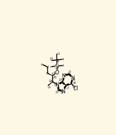 CCC[C@@H](O[Si](C)(C)C(C)(C)C)[C@H](C)n1cnc2c(Cl)ncnc21